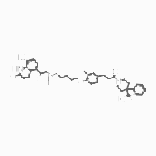 Cc1cc(CCC(=O)N2CCC(C(=O)O)(c3ccccc3)CC2)ccc1OCCCCCNCC(O)c1ccc(O)c2[nH]c(=O)ccc12